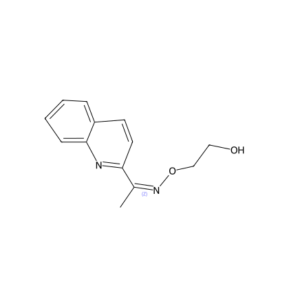 C/C(=N/OCCO)c1ccc2ccccc2n1